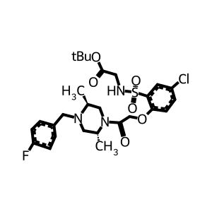 C[C@@H]1CN(Cc2ccc(F)cc2)[C@@H](C)CN1C(=O)COc1ccc(Cl)cc1S(=O)(=O)NCC(=O)OC(C)(C)C